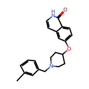 Cc1cccc(CN2CCC(Oc3ccc4c(=O)[nH]ccc4c3)CC2)c1